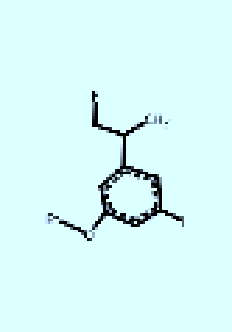 [CH2]C(CF)c1cc(I)cc(OCC)c1